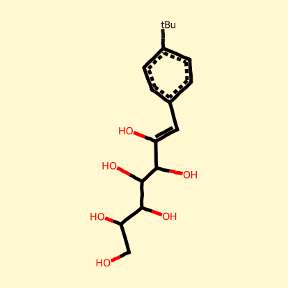 CC(C)(C)c1ccc(C=C(O)C(O)C(O)C(O)C(O)CO)cc1